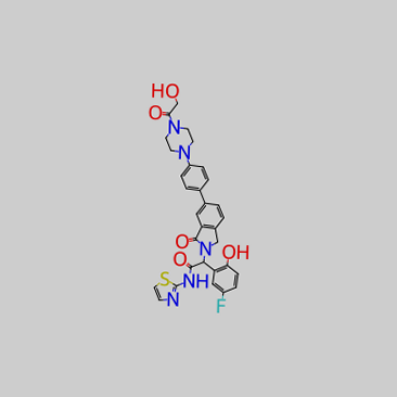 O=C(Nc1nccs1)C(c1cc(F)ccc1O)N1Cc2ccc(-c3ccc(N4CCN(C(=O)CO)CC4)cc3)cc2C1=O